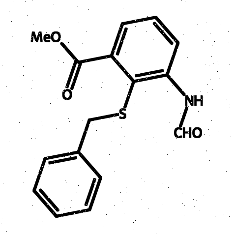 COC(=O)c1cccc(NC=O)c1SCc1ccccc1